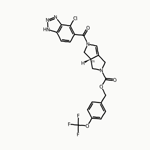 O=C(c1ccc2[nH]nnc2c1Cl)N1C=C2CN(C(=O)OCc3ccc(OC(F)(F)F)cc3)C[C@@H]2C1